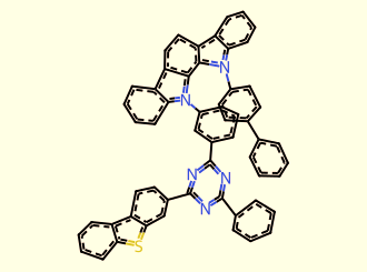 c1ccc(-c2ccc(-n3c4ccccc4c4ccc5c6ccccc6n(-c6cccc(-c7nc(-c8ccccc8)nc(-c8ccc9c(c8)sc8ccccc89)n7)c6)c5c43)cc2)cc1